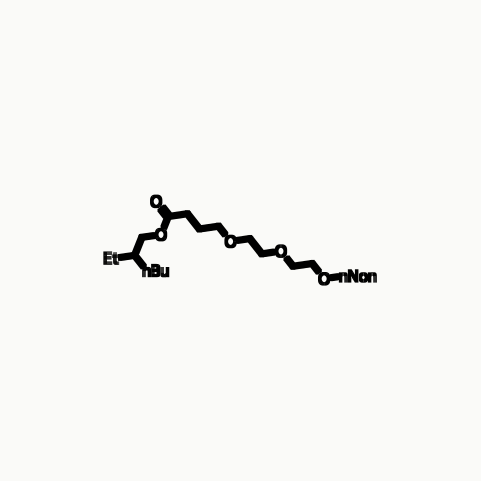 CCCCCCCCCOCCOCCOCCCC(=O)OCC(CC)CCCC